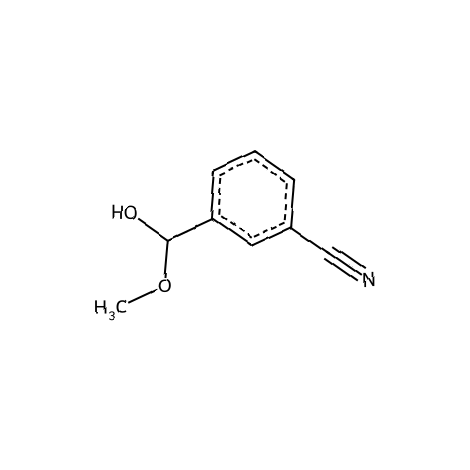 COC(O)c1cccc(C#N)c1